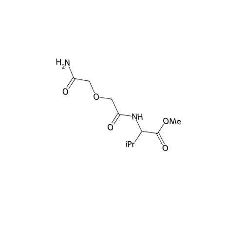 COC(=O)C(NC(=O)COCC(N)=O)C(C)C